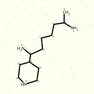 CC(N)CCCCC(N)C1CCNCC1